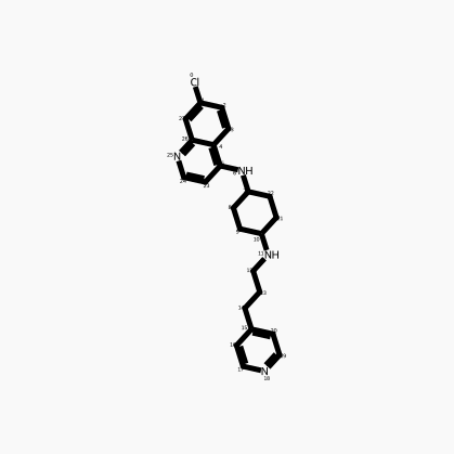 Clc1ccc2c(NC3CCC(NCCCc4ccncc4)CC3)ccnc2c1